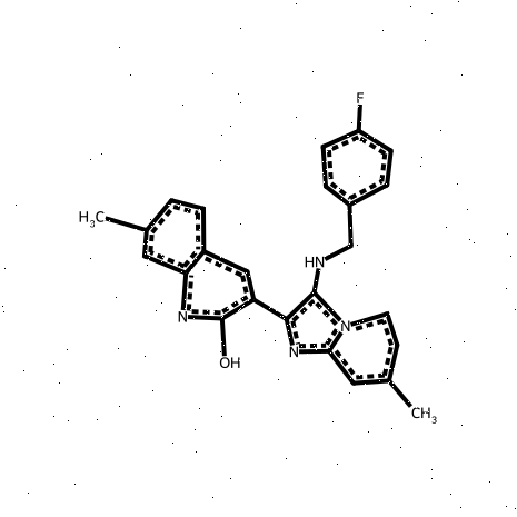 Cc1ccc2cc(-c3nc4cc(C)ccn4c3NCc3ccc(F)cc3)c(O)nc2c1